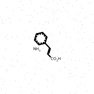 N.O=C(O)C=Cc1ccccc1